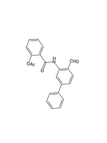 CC(=O)Oc1ccccc1C(=O)Nc1cc(-c2ccccc2)ccc1C=O